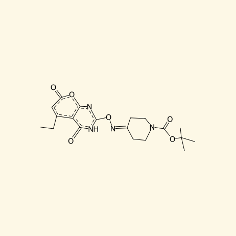 CCc1cc(=O)oc2nc(ON=C3CCN(C(=O)OC(C)(C)C)CC3)[nH]c(=O)c12